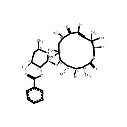 CC/C1=C\[C@](C)(O)[C@@H](CC)OC(=O)[C@H](C)[C@@H](O)[C@H](C)[C@@H](O[C@@H]2O[C@H](C)C[C@H](C)[C@H]2OC(=O)c2ccccc2)[C@@](C)(OC)C[C@@H](C)C1=O